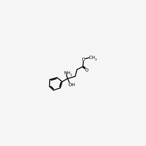 COC(=O)CCC(N)(O)c1ccccc1